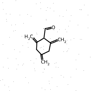 C=C1CC(=C)C([C]=O)C(=C)C1